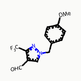 COc1ccc(Cn2cc(C=O)c(C(F)(F)F)n2)cc1